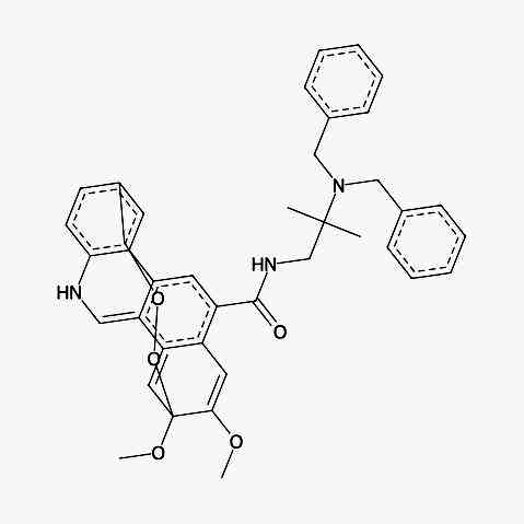 COC1=Cc2c(C(=O)NCC(C)(C)N(Cc3ccccc3)Cc3ccccc3)cc3c4c2=CC1(OC)OOCc1ccc(c-3c1)NC=4